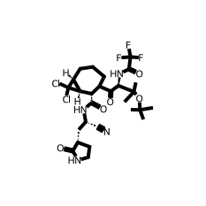 CC(C)(C)OC(C)(C)[C@H](NC(=O)C(F)(F)F)C(=O)C1CCC[C@H]2[C@@H]([C@H]1C(=O)N[C@H](C#N)C[C@@H]1CCNC1=O)C2(Cl)Cl